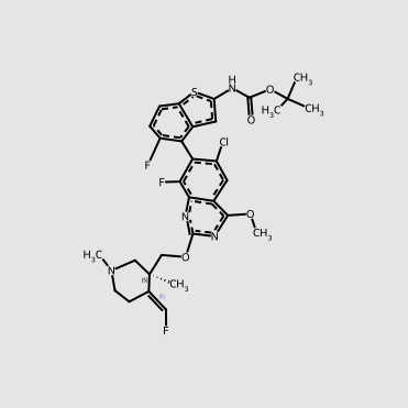 COc1nc(OC[C@]2(C)CN(C)CC/C2=C\F)nc2c(F)c(-c3c(F)ccc4sc(NC(=O)OC(C)(C)C)cc34)c(Cl)cc12